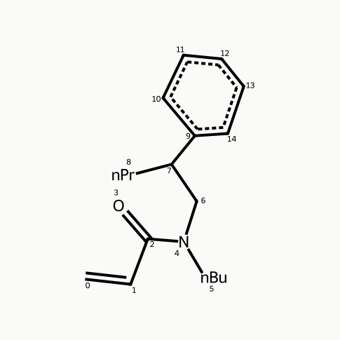 C=CC(=O)N(CCCC)CC(CCC)c1ccccc1